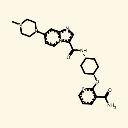 CN1CCN(c2ccn3c(C(=O)N[C@H]4CC[C@H](Oc5ncccc5C(N)=O)CC4)cnc3c2)CC1